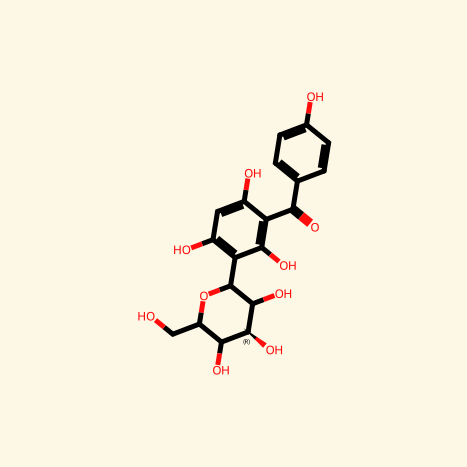 O=C(c1ccc(O)cc1)c1c(O)cc(O)c(C2OC(CO)C(O)[C@H](O)C2O)c1O